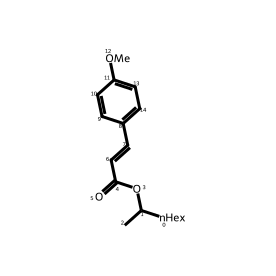 CCCCCCC(C)OC(=O)C=Cc1ccc(OC)cc1